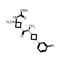 CCc1cccc([C@H]2C[C@@H](N(C)C(=O)[C@H]3C[C@@](C)(NC(=O)OC)C3)C2)c1